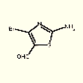 Nc1nc(Br)c(C=O)s1